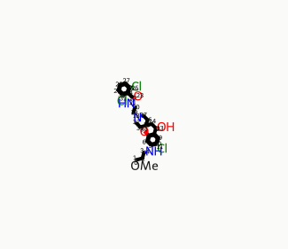 COCCCNc1cc2c(cc1Cl)C(O)CC1(CCN(CCNC(=O)c3c(Cl)cccc3Cl)CC1)O2